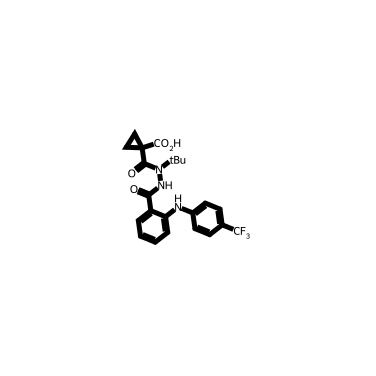 CC(C)(C)N(NC(=O)c1ccccc1Nc1ccc(C(F)(F)F)cc1)C(=O)C1(C(=O)O)CC1